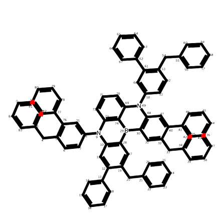 c1ccc(Cc2ccc(N3c4cc(-c5ccccc5)c(Cc5ccccc5)cc4B4c5cc(Cc6ccccc6)c(-c6ccccc6)cc5N(c5ccc(Cc6ccccc6)c(-c6ccccc6)c5)c5cccc3c54)cc2-c2ccccc2)cc1